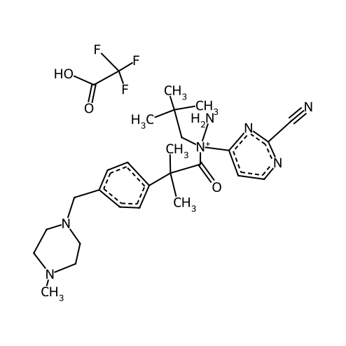 CN1CCN(Cc2ccc(C(C)(C)C(=O)[N+](N)(CC(C)(C)C)c3ccnc(C#N)n3)cc2)CC1.O=C(O)C(F)(F)F